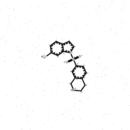 Cc1ccc2ccn(S(=O)(=O)c3ccc4c(c3)CNCC4)c2c1